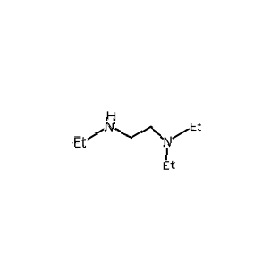 C[CH]NCCN(CC)CC